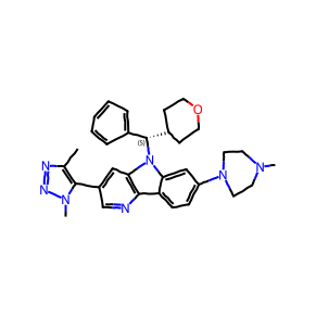 Cc1nnn(C)c1-c1cnc2c3ccc(N4CCN(C)CC4)cc3n([C@H](c3ccccc3)C3CCOCC3)c2c1